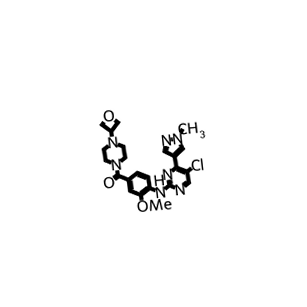 COc1cc(C(=O)N2CCN(C3COC3)CC2)ccc1Nc1ncc(Cl)c(-c2cnn(C)c2)n1